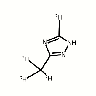 [2H]c1nc(C([2H])([2H])[2H])n[nH]1